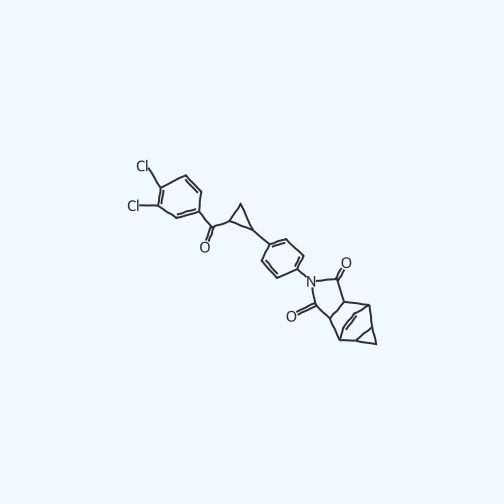 O=C(c1ccc(Cl)c(Cl)c1)C1CC1c1ccc(N2C(=O)C3C4C=CC(C5CC45)C3C2=O)cc1